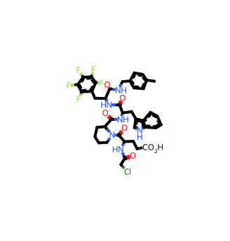 Cc1ccc(CNC(=O)C(Cc2c(F)c(F)c(F)c(F)c2F)NC(=O)C(Cc2c[nH]c3ccccc23)NC(=O)C2CCCCN2C(=O)C(CCC(=O)O)NC(=O)CCl)cc1